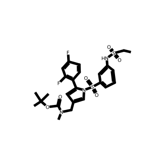 CCS(=O)(=O)Nc1cccc(S(=O)(=O)n2cc(CN(C)C(=O)OC(C)(C)C)cc2-c2ccc(F)cc2F)c1